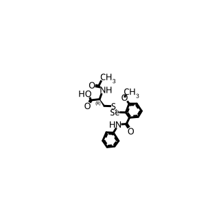 COc1cccc(C(=O)Nc2ccccc2)c1[Se]SC[C@H](NC(C)=O)C(=O)O